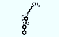 CCCCCCCCOc1ccc(C(=O)Oc2ccc(C3CCCCC3)cc2)c(F)c1F